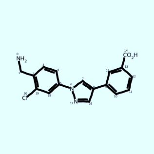 NCc1ccc(-n2cc(-c3cccc(C(=O)O)c3)cn2)cc1Cl